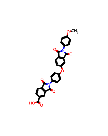 COc1ccc(N2C(=O)c3ccc(Oc4ccc(N5C(=O)c6ccc(C(=O)O)cc6C5=O)cc4)cc3C2=O)cc1